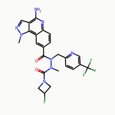 CN(C(=O)N1CC(F)C1)N(Cc1ccc(C(F)(F)F)cn1)C(=O)c1ccc2nc(N)c3cnn(C)c3c2c1